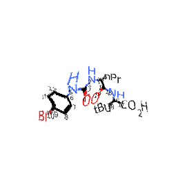 CCC[C@H](NC(=O)Nc1ccc(Br)cc1)C(=O)NC(C(=O)O)C(C)(C)C